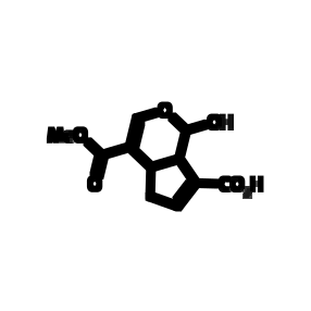 COC(=O)C1=COC(O)C2C(C(=O)O)=CCC12